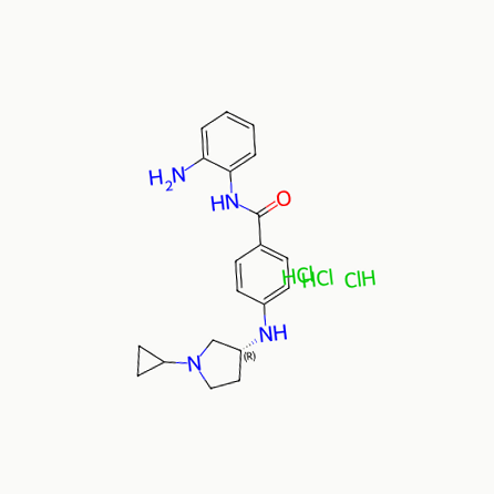 Cl.Cl.Cl.Nc1ccccc1NC(=O)c1ccc(N[C@@H]2CCN(C3CC3)C2)cc1